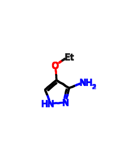 CCOc1c[nH]nc1N